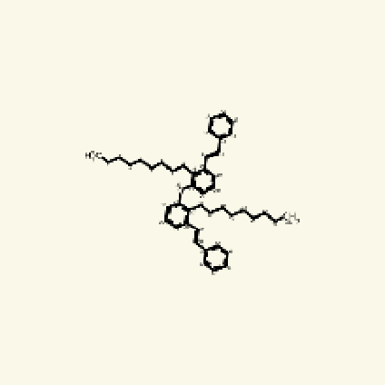 CCCCCCCCCc1c(/C=C/c2ccccc2)cccc1Oc1cccc(/C=C/c2ccccc2)c1CCCCCCCCC